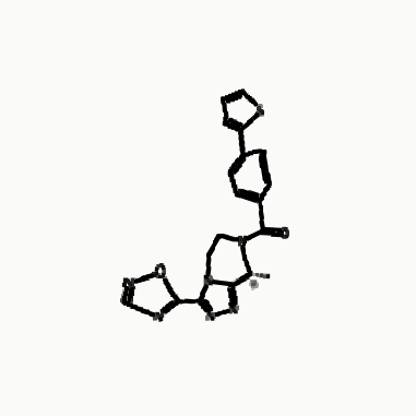 C[C@@H]1c2nnc(-c3ncno3)n2CCN1C(=O)c1ccc(-c2cccs2)cc1